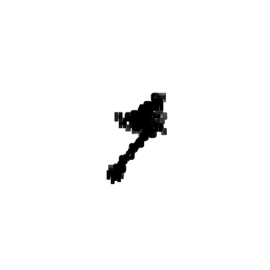 CCC(C)C(C(CC(=O)N1CCCC1C(OC)C(C)C(=O)NCC(=O)O)OC)N(C)C(=O)CNC(=O)C(C)(C)N(C)C(=O)CCOCCOCCOCCOCCOCCC(=O)Oc1c(F)c(F)c(F)c(F)c1F